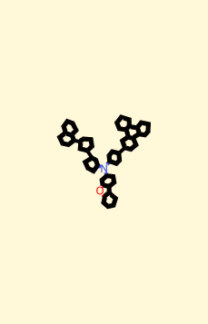 c1cc(-c2cccc(N(c3ccc(-c4ccc5c6ccccc6c6ccccc6c5c4)cc3)c3ccc4c(c3)oc3ccccc34)c2)cc(-c2cccc3ccccc23)c1